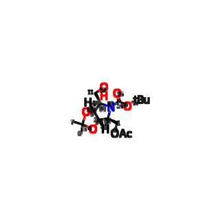 CC(=O)OC[C@H]1[C@@H]2OC(C)(C)O[C@@H]2[C@@H](CO)N1C(=O)OC(C)(C)C